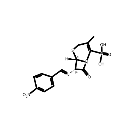 CC1=C(P(=O)(O)O)N2C(=O)[C@H](N=Cc3ccc([N+](=O)[O-])cc3)[C@@H]2SC1